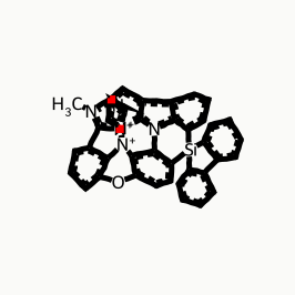 Cn1c2[n+](c3ncccc31)[N+]13c4c(cccc4-2)Oc2ccc4c(c21)-n1c2c(cccc2c2ccc[n+]3c21)[Si]41c2ccccc2-c2ccccc21